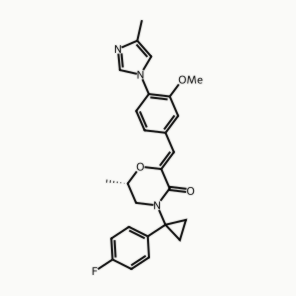 COc1cc(C=C2O[C@@H](C)CN(C3(c4ccc(F)cc4)CC3)C2=O)ccc1-n1cnc(C)c1